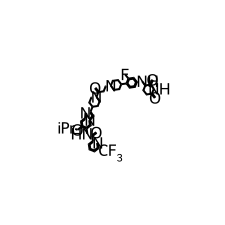 CC(C)Oc1cc2nc(C3CCN(C(=O)CCN4CCC(c5ccc(NC6CCC(=O)NC6=O)cc5F)CC4)CC3)cn2cc1NC(=O)c1cccc(C(F)(F)F)n1